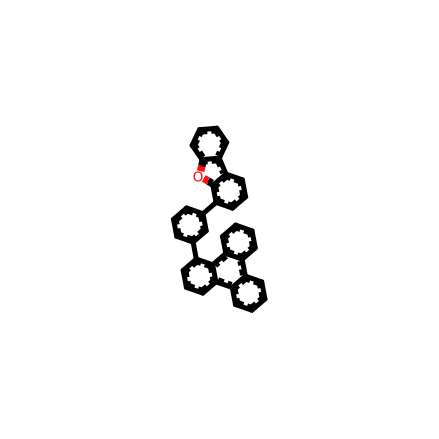 c1cc(-c2cccc3c2oc2ccccc23)cc(-c2cccc3c4ccccc4c4ccccc4c23)c1